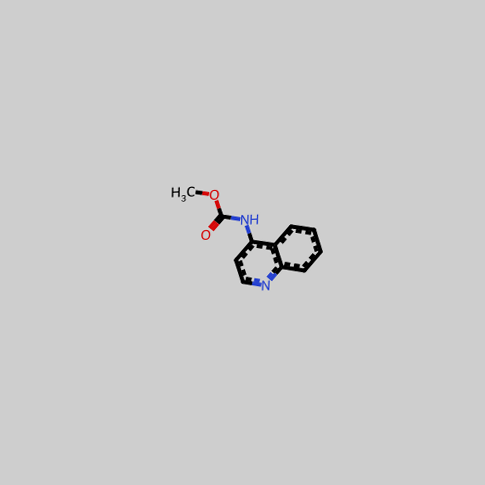 COC(=O)Nc1ccnc2ccccc12